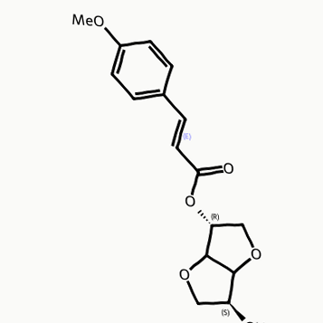 COc1ccc(/C=C/C(=O)O[C@@H]2COC3C2OC[C@@H]3O)cc1